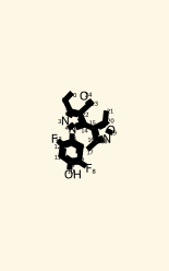 CCc1nn(-c2cc(F)c(O)cc2F)c(-c2c(C)noc2C)c1C=O